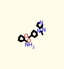 Cc1nc2cnccc2n1-c1ccc(COc2ccccc2C(N)=O)cc1